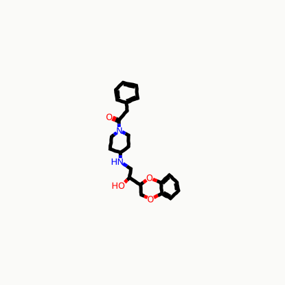 O=C(Cc1ccccc1)N1CCC(NCC(O)C2COc3ccccc3O2)CC1